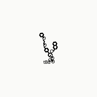 CC(C)(C)OC(=O)ON1CCC(c2ccc(COCCCOc3ccccc3)cc2)C(OCc2ccc3ccccc3c2)C1